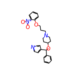 O=[N+]([O-])c1ccccc1OCCCN1CCC(OC(c2ccccc2)c2ccncc2)CC1